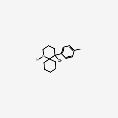 CCN1CCCC(O)(c2ccc(Cl)cc2)C12CCCCC2